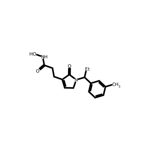 CCC(c1cccc(C)c1)N1CC=C(CCC(=O)NO)C1=O